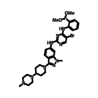 COP(OC)c1ccccc1Nc1nc(Nc2ccc3c(N4CCC(N5CCN(C)CC5)CC4)nn(C)c3c2)ncc1Br